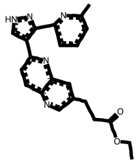 CCOC(=O)CCc1cnc2ccc(-c3c[nH]nc3-c3cccc(C)n3)nc2c1